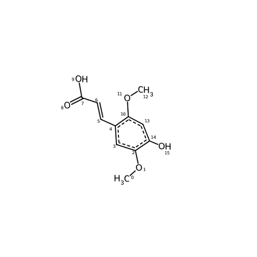 COc1cc(C=CC(=O)O)c(OC)cc1O